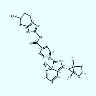 CC1CCc2nc(NC(=O)c3ccc(C4=NC([C@@H]5[C@@H]6COC[C@@H]65)=C5C=NC=C[N+]45N)cc3)sc2C1